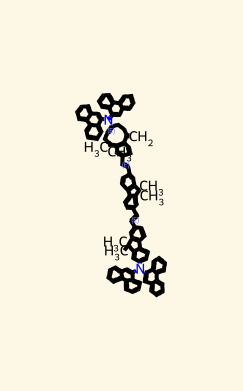 C=C1CC/C(N(c2cc3ccccc3c3ccccc23)c2cc3ccccc3c3ccccc23)=C\CC(C)(C)c2cc(/C=C/c3ccc4c(c3)C(C)(C)c3cc(/C=C/c5ccc6c(c5)C(C)(C)c5cc(N(c7cc8ccccc8c8ccccc78)c7cc8ccccc8c8ccccc78)ccc5-6)ccc3-4)ccc21